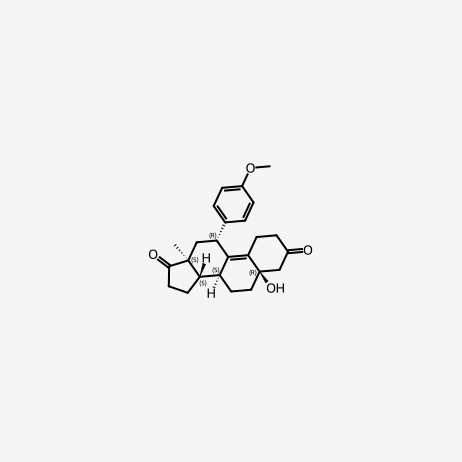 COc1ccc([C@H]2C[C@]3(C)C(=O)CC[C@H]3[C@@H]3CC[C@@]4(O)CC(=O)CCC4=C32)cc1